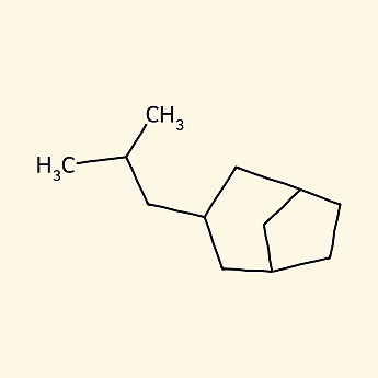 CC(C)CC1CC2CCC(C2)C1